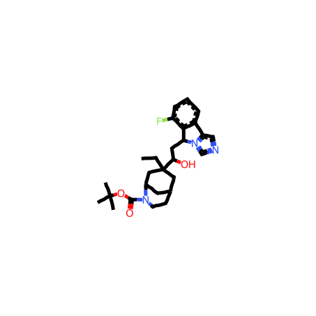 CCC1(C(O)CC2c3c(F)cccc3-c3cncn32)CC2CCN(C(=O)OC(C)(C)C)C(C2)C1